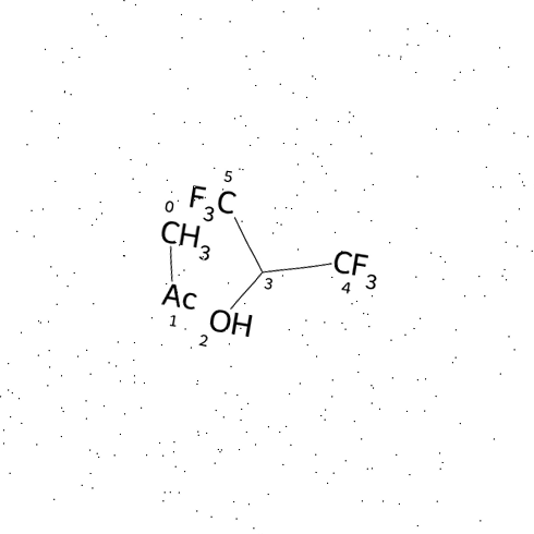 CC(C)=O.OC(C(F)(F)F)C(F)(F)F